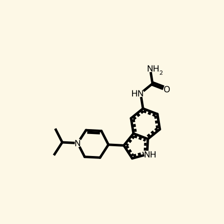 CC(C)N1C=CC(c2c[nH]c3ccc(NC(N)=O)cc23)CC1